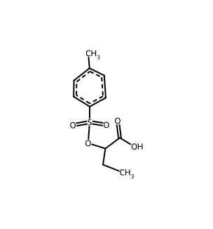 CCC(OS(=O)(=O)c1ccc(C)cc1)C(=O)O